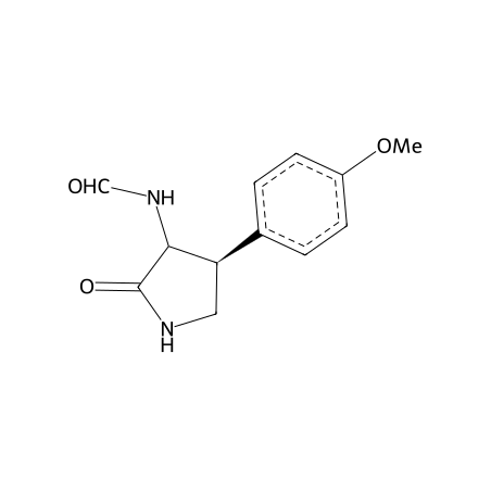 COc1ccc([C@H]2CNC(=O)C2NC=O)cc1